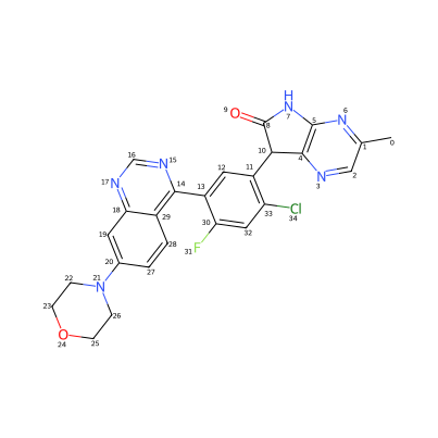 Cc1cnc2c(n1)NC(=O)C2c1cc(-c2ncnc3cc(N4CCOCC4)ccc23)c(F)cc1Cl